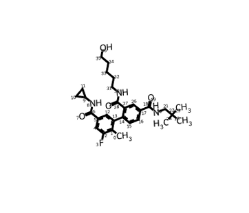 Cc1c(F)cc(C(=O)NC2CC2)cc1-c1ccc(C(=O)NCC(C)(C)C)cc1C(=O)NCCCCCO